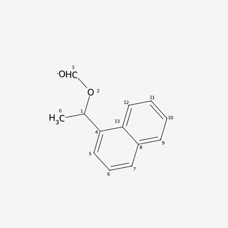 CC(O[C]=O)c1cccc2ccccc12